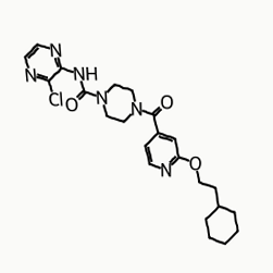 O=C(Nc1nccnc1Cl)N1CCN(C(=O)c2ccnc(OCCC3CCCCC3)c2)CC1